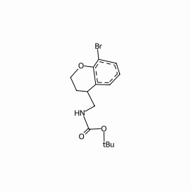 CC(C)(C)OC(=O)NCC1CCOc2c(Br)cccc21